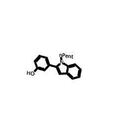 CCCCCn1c(-c2cccc(O)c2)cc2ccccc21